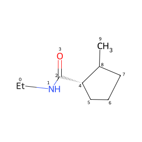 CCNC(=O)[C@H]1CCCC1C